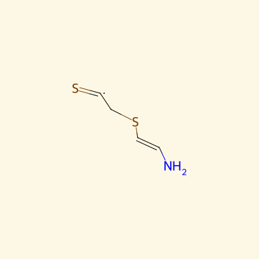 NC=CSC[C]=S